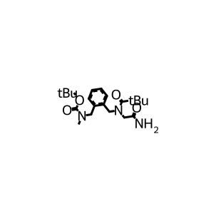 CN(Cc1ccccc1CN(CC(N)=O)C(=O)C(C)(C)C)C(=O)OC(C)(C)C